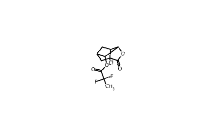 CC(F)(F)C(=O)OC1C2CC3C1OC(=O)C3(Cl)C2